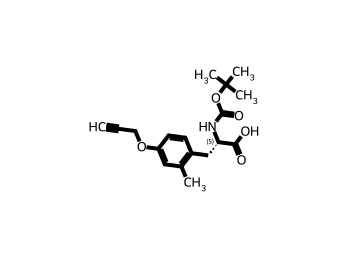 C#CCOc1ccc(C[C@H](NC(=O)OC(C)(C)C)C(=O)O)c(C)c1